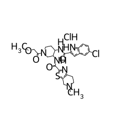 COCC(=O)N1CCC(NC(=O)c2cc3cc(Cl)ccc3[nH]2)C(NC(=O)c2nc3c(s2)CN(C)CC3)C1.Cl